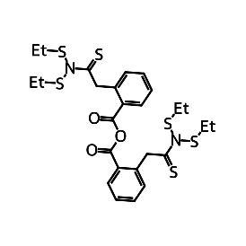 CCSN(SCC)C(=S)Cc1ccccc1C(=O)OC(=O)c1ccccc1CC(=S)N(SCC)SCC